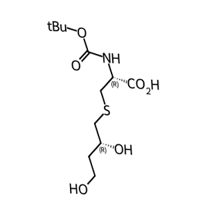 CC(C)(C)OC(=O)N[C@@H](CSC[C@H](O)CCO)C(=O)O